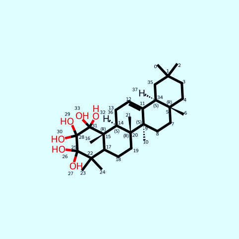 CC1(C)CC[C@]2(C)CC[C@]3(C)C(=CC[C@@H]4[C@]5(C)C(CC[C@]43C)C(C)(C)C(O)(O)C(O)(O)C5(O)O)[C@H]2C1